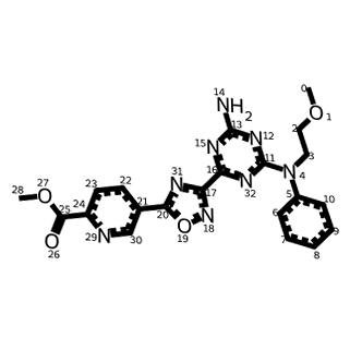 COCCN(c1ccccc1)c1nc(N)nc(-c2noc(-c3ccc(C(=O)OC)nc3)n2)n1